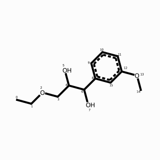 CCOCC(O)C(O)c1cccc(OC)c1